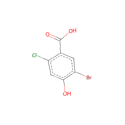 O=C(O)c1cc(Br)c(O)cc1Cl